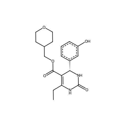 CCC1=C(C(=O)OCC2CCOCC2)[C@H](c2cccc(O)c2)NC(=O)N1